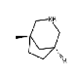 C[C@@]12CC[C@H](CNC1)C2